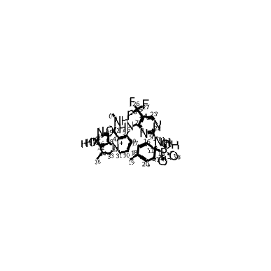 CNC(=O)C1=C(Nc2nc(NC3(P(=O)([O-])O)C=CC(C)=CC3)ncc2C(F)(F)F)C=CC[N+]1(CC(C)CO)c1cn[nH]c1